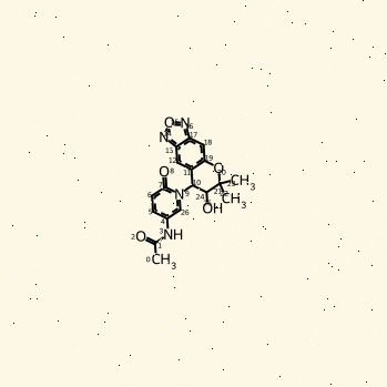 CC(=O)Nc1ccc(=O)n(C2c3cc4nonc4cc3OC(C)(C)C2O)c1